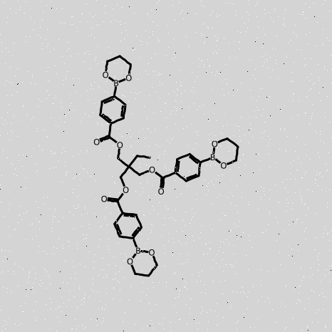 CCC(COC(=O)c1ccc(B2OCCCO2)cc1)(COC(=O)c1ccc(B2OCCCO2)cc1)COC(=O)c1ccc(B2OCCCO2)cc1